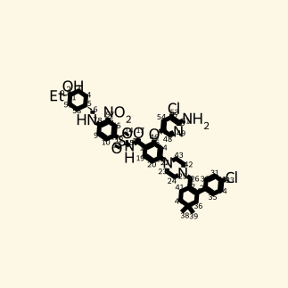 CC[C@]1(O)CC[C@H](CNc2ccc(S(=O)(=O)NC(=O)c3ccc(N4CCN(CC5=C(c6ccc(Cl)cc6)CC(C)(C)CC5)CC4)cc3Oc3cnc(N)c(Cl)c3)cc2[N+](=O)[O-])CC1